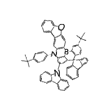 CC(C)(C)c1ccc(N2c3cc4c(cc3B3c5cc(C(C)(C)C)ccc5C5(c6ccccc6-c6ccccc65)c5cc(-n6c7ccccc7c7ccccc76)cc2c53)oc2ccccc24)cc1